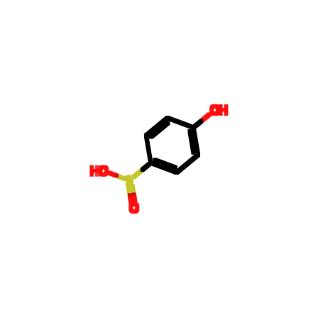 O=S(O)c1ccc(O)cc1